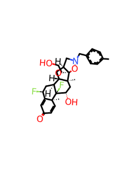 Cc1ccc(CN2C[C@@H]3C[C@H]4[C@@H]5C[C@H](F)C6=CC(=O)C=C[C@]6(C)[C@@]5(F)[C@@H](O)C[C@]4(C)[C@]3(C(=O)CO)O2)cc1